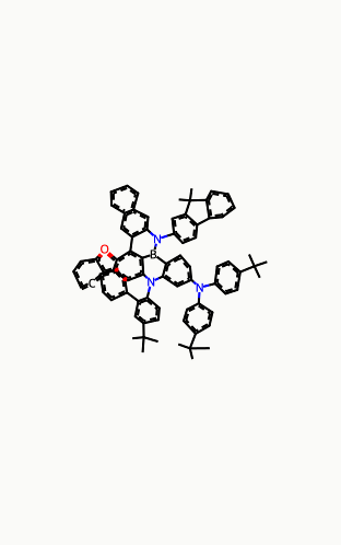 CC(C)(C)c1ccc(N(c2ccc(C(C)(C)C)cc2)c2ccc3c(c2)N(c2ccc(C(C)(C)C)cc2-c2ccccc2)c2cc4c(oc5ccccc54)c4c2B3N(c2ccc3c(c2)C(C)(C)c2ccccc2-3)c2cc3ccccc3cc2-4)cc1